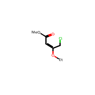 CCOC(=CC(=O)OC)CCl